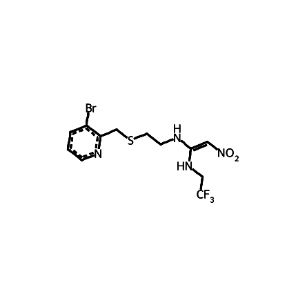 O=[N+]([O-])C=C(NCCSCc1ncccc1Br)NCC(F)(F)F